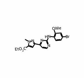 CCOC(=O)c1cc(-c2ccnc(Nc3ccc(Br)cc3OC)n2)nn1C